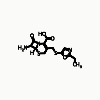 CCc1ncc(SCC2=C(C(=O)O)N3C(=O)C(N)[C@H]3SC2)o1